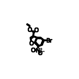 CCOC(=O)c1coc2c([N+](=O)[O-])cc(Br)cc12